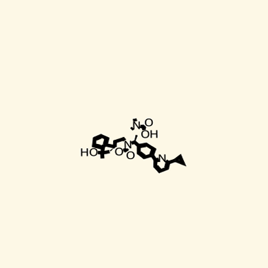 CN(C)C(=O)O.C[C@@H](c1ccc(-c2cccc(C3CC3)n2)cc1)N1CC[C@](CC(C)(C)O)(c2ccccc2)OC1=O